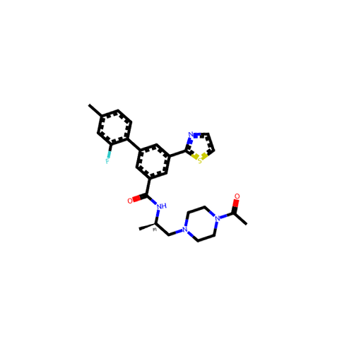 CC(=O)N1CCN(C[C@@H](C)NC(=O)c2cc(-c3nccs3)cc(-c3ccc(C)cc3F)c2)CC1